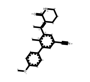 COc1ccc(-c2cc(C#N)cc(/C(C)=C3\CCCNC3=O)c2C)cc1